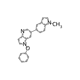 Cn1ccc2cc(-c3cnc4ccn(Oc5ccccc5)c4c3)ccc21